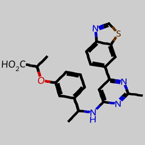 Cc1nc(NC(C)c2cccc(OC(C)C(=O)O)c2)cc(-c2ccc3ncsc3c2)n1